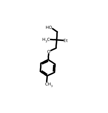 CCC(C)(CO)COc1ccc(C)cc1